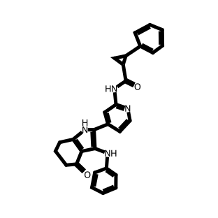 O=C1CCCc2[nH]c(-c3ccnc(NC(=O)C4CC4c4ccccc4)c3)c(Nc3ccccc3)c21